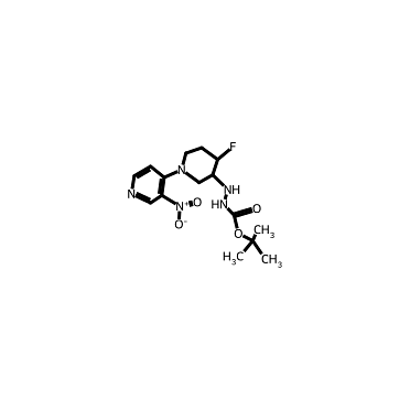 CC(C)(C)OC(=O)NNC1CN(c2ccncc2[N+](=O)[O-])CCC1F